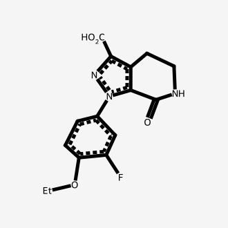 CCOc1ccc(-n2nc(C(=O)O)c3c2C(=O)NCC3)cc1F